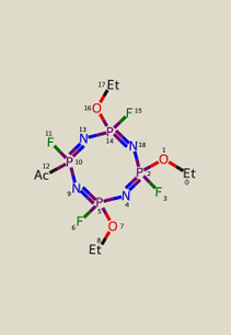 CCOP1(F)=NP(F)(OCC)=NP(F)(C(C)=O)=NP(F)(OCC)=N1